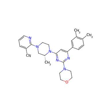 Cc1ccc(-c2cc(N3CCN(c4ncccc4C#N)C[C@H]3C)nc(N3CCOCC3)n2)cc1C